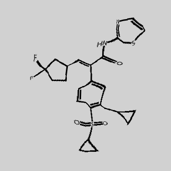 O=C(Nc1nccs1)/C(=C/[C@H]1CCC(F)(F)C1)c1ccc(S(=O)(=O)C2CC2)c(C2CC2)c1